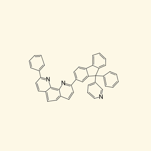 c1ccc(-c2ccc3ccc4ccc(-c5ccc6c(c5)C(c5ccccc5)(c5cccnc5)c5ccccc5-6)nc4c3n2)cc1